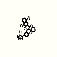 COc1cc(C(=O)[C@@H]2C(=O)c3cc(-c4nnn[nH]4)ccc3OC23CCNCC3)cc2c(OC)cccc12